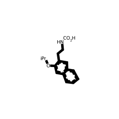 CC(C)Oc1cc2ccccc2cc1CCNC(=O)O